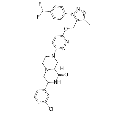 Cc1nnn(-c2ccc(C(F)F)cc2)c1COc1ccc(N2CCN3CC(c4cccc(Cl)c4)NC(=O)[C@@H]3C2)nn1